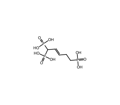 O=P(O)(O)CC/C=C/C(P(=O)(O)O)P(=O)(O)O